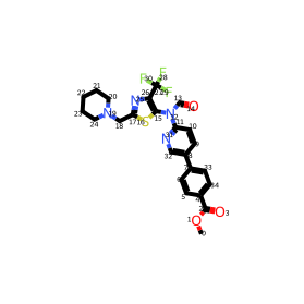 COC(=O)c1ccc(-c2ccc(N(C=O)c3sc(CN4CCCCC4)nc3C(F)(F)F)nc2)cc1